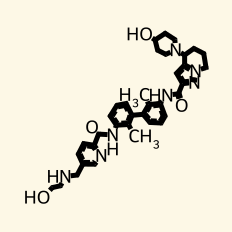 Cc1c(NC(=O)c2ccc(CNCCO)cn2)cccc1-c1cccc(NC(=O)c2cc3n(n2)CCCC3N2CCC(O)CC2)c1C